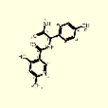 Cc1cc(O)c(C(=O)NC(C([NH])=O)c2ccc(O)cc2)cn1